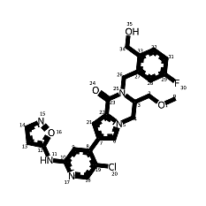 COCC1Cn2cc(-c3cc(Nc4ccno4)ncc3Cl)cc2C(=O)N1Cc1cc(F)ccc1CO